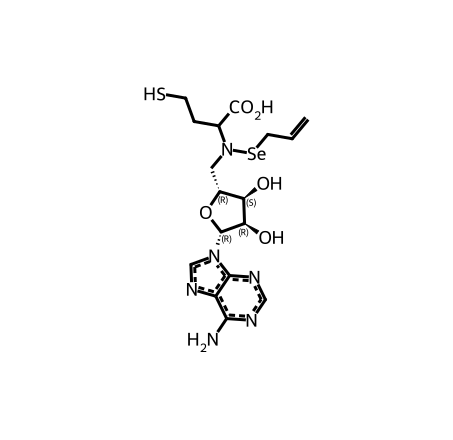 C=CC[Se]N(C[C@H]1O[C@@H](n2cnc3c(N)ncnc32)[C@H](O)[C@@H]1O)C(CCS)C(=O)O